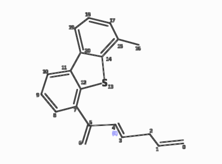 C=CC/C=C/C(=C)c1cccc2c1sc1c(C)cccc12